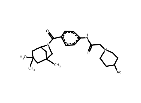 CC(=O)C1CCN(CC(=O)Nc2ccc(C(=O)N3CC4(C)CC3CC(C)(C)C4)cc2)CC1